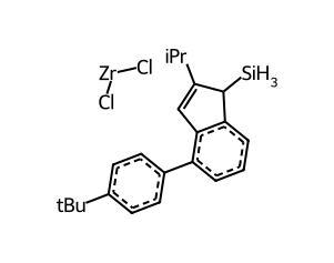 CC(C)C1=Cc2c(-c3ccc(C(C)(C)C)cc3)cccc2C1[SiH3].[Cl][Zr][Cl]